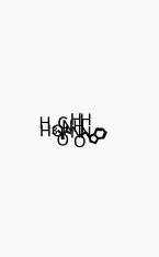 CNC(CNC(=O)NC1CCC2C=CC=CC21)C(=O)O